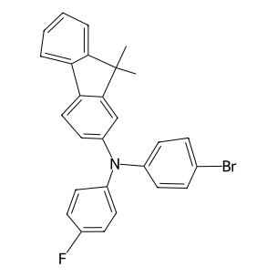 CC1(C)c2ccccc2-c2ccc(N(c3ccc(F)cc3)c3ccc(Br)cc3)cc21